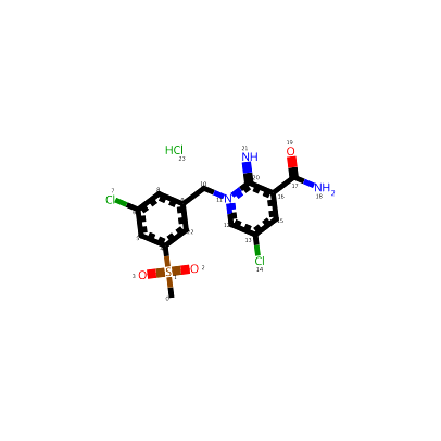 CS(=O)(=O)c1cc(Cl)cc(Cn2cc(Cl)cc(C(N)=O)c2=N)c1.Cl